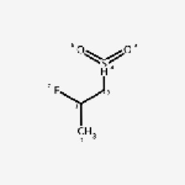 CC(F)[CH][SH](=O)=O